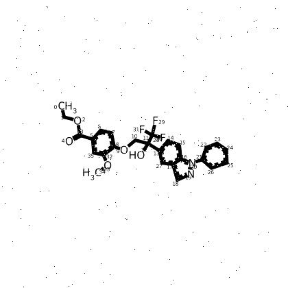 CCOC(=O)c1ccc(OCC(O)(c2ccc3c(cnn3-c3ccccc3)c2)C(F)(F)F)c(OC)c1